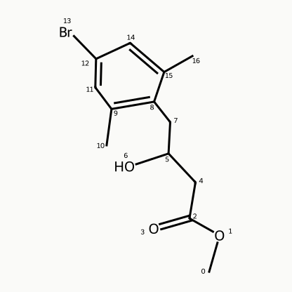 COC(=O)CC(O)Cc1c(C)cc(Br)cc1C